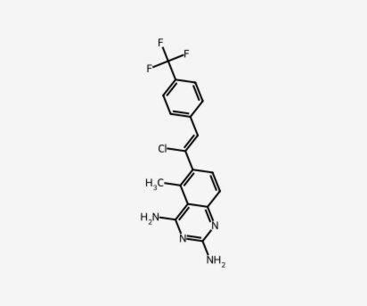 Cc1c(/C(Cl)=C/c2ccc(C(F)(F)F)cc2)ccc2nc(N)nc(N)c12